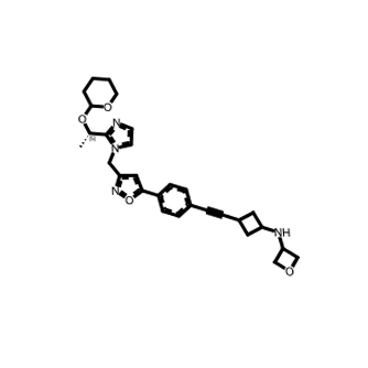 C[C@H](OC1CCCCO1)c1nccn1Cc1cc(-c2ccc(C#CC3CC(NC4COC4)C3)cc2)on1